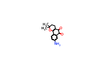 CC1(C)CCC2=C(O1)c1ccc(N)cc1C(=O)C2=O